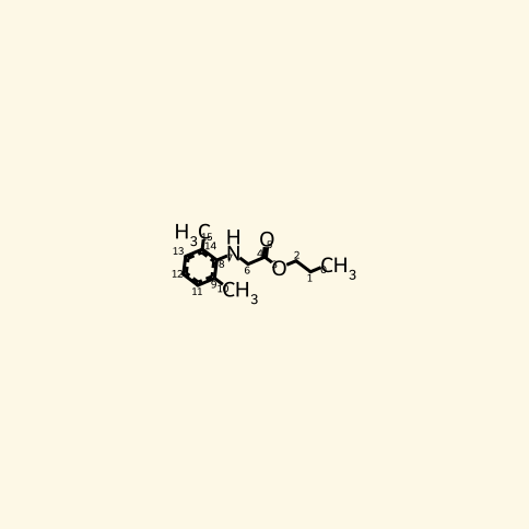 CCCOC(=O)CNc1c(C)cccc1C